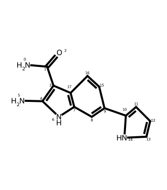 NC(=O)c1c(N)[nH]c2cc(-c3ccc[nH]3)ccc12